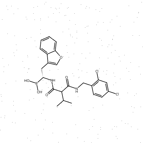 CC(C)C(C(=O)NCc1ccc(Cl)cc1Cl)C(=O)N[C@@H](Cc1coc2ccccc12)B(O)O